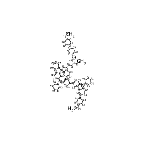 C=Cc1ccc(-c2ccc(OCC(CC)CCCCC3(c4ccccc4)c4ccccc4-c4ccc(N(c5ccccc5)c5ccc(-c6ccc7c(c6)c6cc(-c8ccc(C=C)cc8)ccc6n7-c6ccccc6)cc5)cc43)cc2)cc1